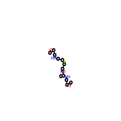 c1ccc2c(-c3nc4ccc(-c5ccc6sc7ccc(-c8ccc(Nc9ccc(-c%10cccc%11oc%12ccccc%12c%10%11)cc9)cc8)cc7c6c5)cc4o3)cc(Nc3ccc(-c4cccc5oc6ccccc6c45)cc3)cc2c1